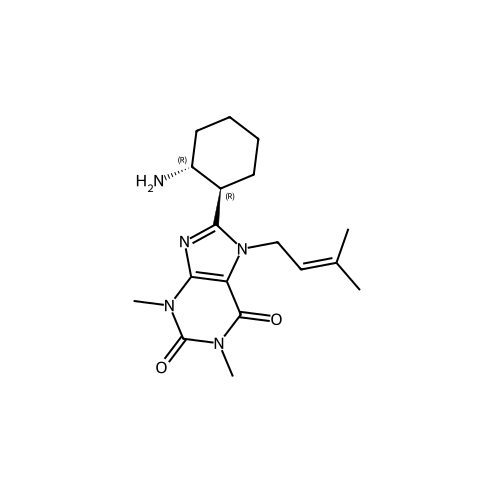 CC(C)=CCn1c([C@@H]2CCCC[C@H]2N)nc2c1c(=O)n(C)c(=O)n2C